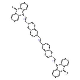 O=c1c2ccccc2n(/C=C/c2ccc3cc(/C=C/c4ccc5cc(/C=C/n6c7ccccc7c(=O)c7ccccc76)ccc5c4)ccc3c2)c2ccccc12